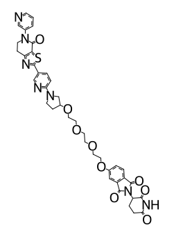 O=C1CCC(N2C(=O)c3ccc(OCCOCCOCCOC4CCN(c5ccc(-c6nc7c(s6)C(=O)N(c6cccnc6)CC7)cn5)C4)cc3C2=O)C(=O)N1